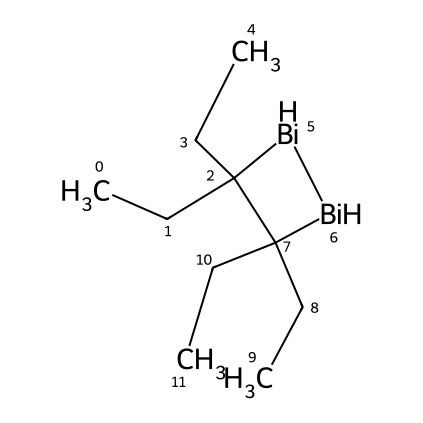 CC[C]1(CC)[BiH][BiH][C]1(CC)CC